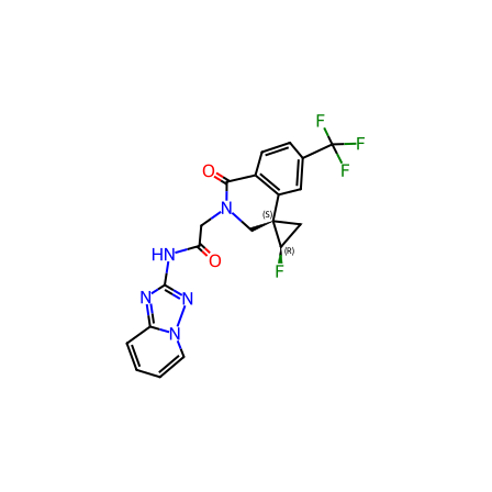 O=C(CN1C[C@]2(C[C@H]2F)c2cc(C(F)(F)F)ccc2C1=O)Nc1nc2ccccn2n1